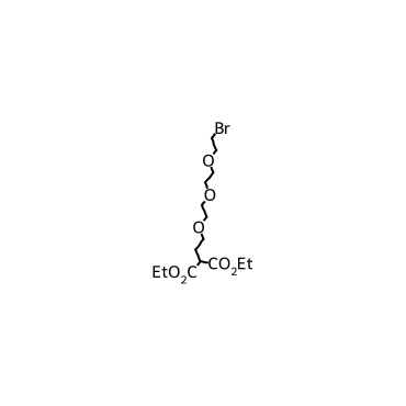 CCOC(=O)C(CCOCCOCCOCCBr)C(=O)OCC